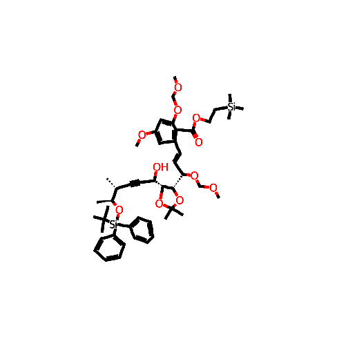 COCOc1cc(OC)cc(/C=C/C(OCOC)[C@@H]2OC(C)(C)O[C@@H]2C(O)C#C[C@@H](C)[C@H](C)O[Si](c2ccccc2)(c2ccccc2)C(C)(C)C)c1C(=O)OCC[Si](C)(C)C